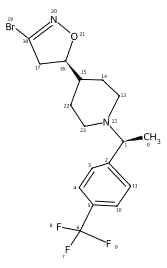 C[C@@H](c1ccc(C(F)(F)F)cc1)N1CCC([C@H]2CC(Br)=NO2)CC1